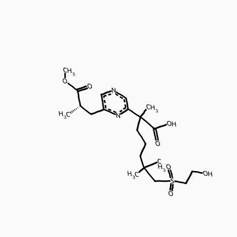 COC(=O)[C@@H](C)Cc1cncc(C(C)(CCCC(C)(C)CS(=O)(=O)CCO)C(=O)O)n1